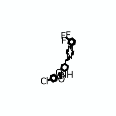 O=S(=O)(N[C@H]1CC[C@H](CCN2CCN(c3cccc(C(F)(F)F)c3)CC2)CC1)c1ccc(Cl)cc1